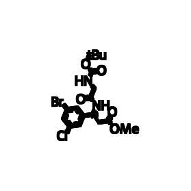 COC(=O)C[C@H](NC(=O)CNC(=O)OC(C)(C)C)c1cc(Cl)cc(Br)c1